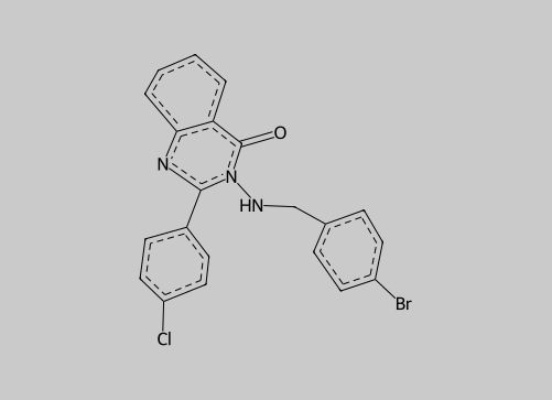 O=c1c2ccccc2nc(-c2ccc(Cl)cc2)n1NCc1ccc(Br)cc1